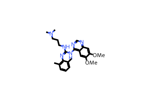 COc1cc2ncnc(N/C(=N\c3c(C)cccc3C)NCCCN(C)C)c2cc1OC